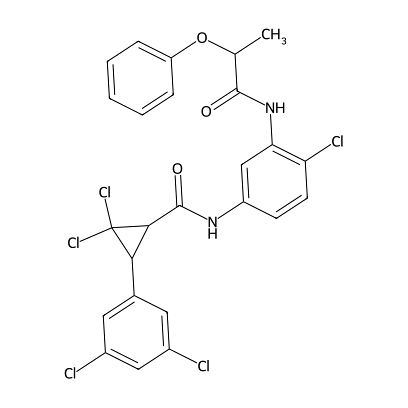 CC(Oc1ccccc1)C(=O)Nc1cc(NC(=O)C2C(c3cc(Cl)cc(Cl)c3)C2(Cl)Cl)ccc1Cl